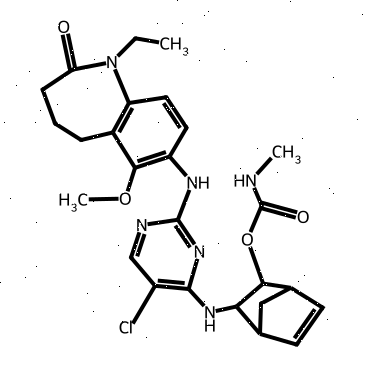 CCN1C(=O)CCCc2c1ccc(Nc1ncc(Cl)c(NC3C4C=CC(C4)C3OC(=O)NC)n1)c2OC